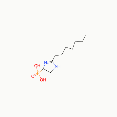 CCCCCCCC1=NC(P(=O)(O)O)CN1